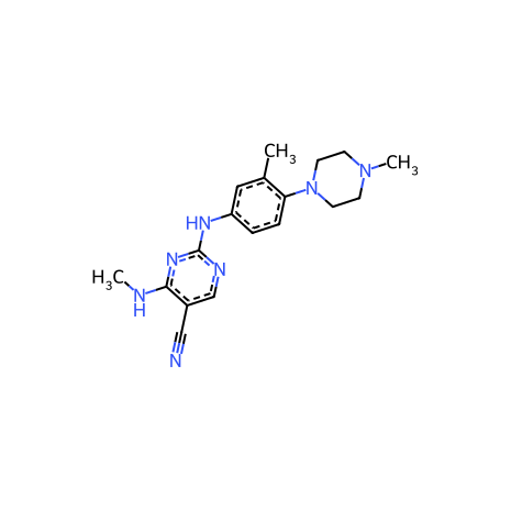 CNc1nc(Nc2ccc(N3CCN(C)CC3)c(C)c2)ncc1C#N